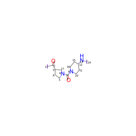 O=C(I)C1CCN(C(=O)N2CCC(NI)CC2)C1